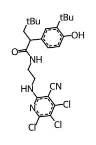 CC(C)(C)CC(C(=O)NCCNc1nc(Cl)c(Cl)c(Cl)c1C#N)c1ccc(O)c(C(C)(C)C)c1